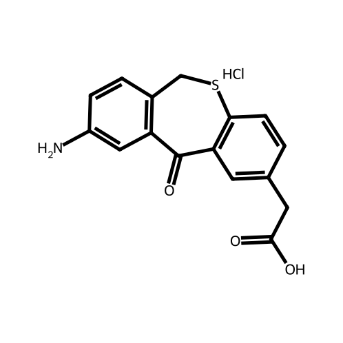 Cl.Nc1ccc2c(c1)C(=O)c1cc(CC(=O)O)ccc1SC2